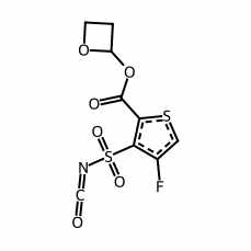 O=C=NS(=O)(=O)c1c(F)csc1C(=O)OC1CCO1